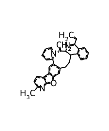 C=CC1=NC2C(=C)[n+]3ccccc3-c3cc4c(cc3CCC2c2ccccc21)oc1nc(C)ccc14